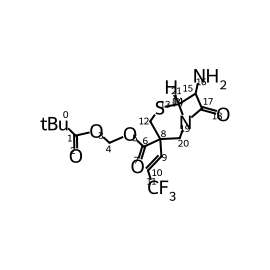 CC(C)(C)C(=O)OCOC(=O)C1(C=CC(F)(F)F)CS[C@@H]2C(N)C(=O)N2C1